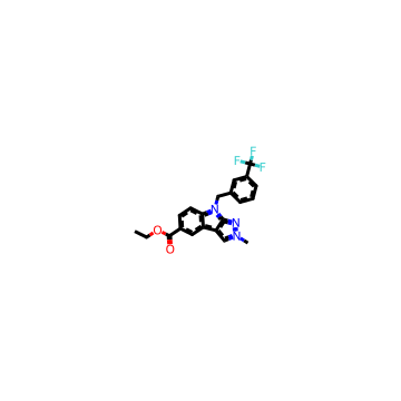 CCOC(=O)c1ccc2c(c1)c1cn(C)nc1n2Cc1cccc(C(F)(F)F)c1